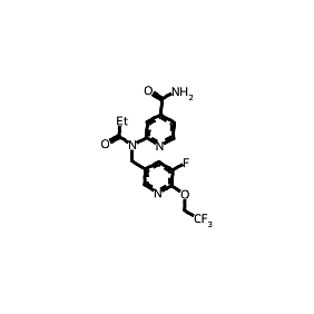 CCC(=O)N(Cc1cnc(OCC(F)(F)F)c(F)c1)c1cc(C(N)=O)ccn1